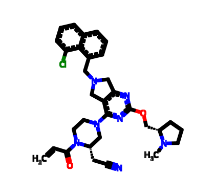 C=CC(=O)N1CCN(c2nc(OC[C@@H]3CCCN3C)nc3c2CN(Cc2cccc4cccc(Cl)c24)C3)C[C@@H]1CC#N